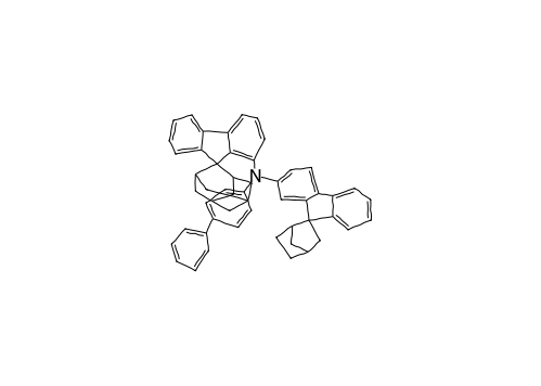 c1ccc(-c2ccc(N(c3ccc4c(c3)C3(CC5CCC3C5)c3ccccc3-4)c3cccc4c3C3(c5ccccc5-4)C4CC5CC(C4)CC3C5)cc2)cc1